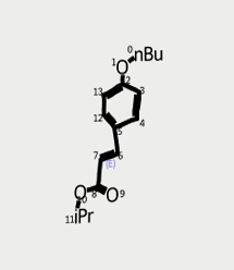 CCCCOc1ccc(/C=C/C(=O)OC(C)C)cc1